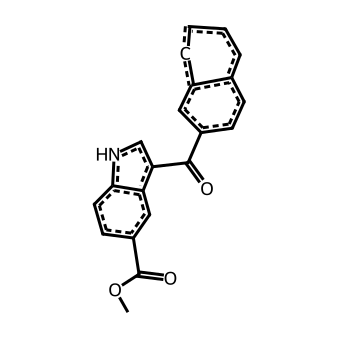 COC(=O)c1ccc2[nH]cc(C(=O)c3ccc4ccccc4c3)c2c1